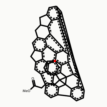 COC(=O)CCCC1(c2ccccc2)C23c4c5ccc6c7cc8c9c%10c%11c%12c(cc%13c%14c%15c(cc%16c%17ccc-5c2c%17c2c5c%17c%18c(c(c46)c7c9c%18c%11c(c%14%12)c%17c%15c%162)C513)C%13)CC%10C8